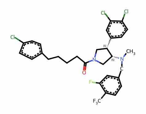 CN(Cc1ccc(C(F)(F)F)c(F)c1)[C@@H]1CN(C(=O)CCCCc2ccc(Cl)cc2)C[C@@H]1c1ccc(Cl)c(Cl)c1